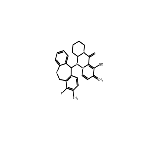 C=C1C=CN2C(=C1N=O)C(=O)N1CCCCC1N2C1c2ccccc2SCc2c1ccc(C)c2F